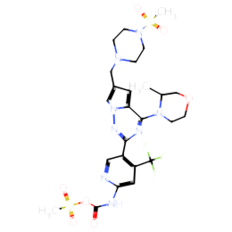 CC1COCCN1c1nc(-c2cnc(NC(=O)OS(C)(=O)=O)cc2C(F)(F)F)nn2cc(CN3CCN(S(C)(=O)=O)CC3)cc12